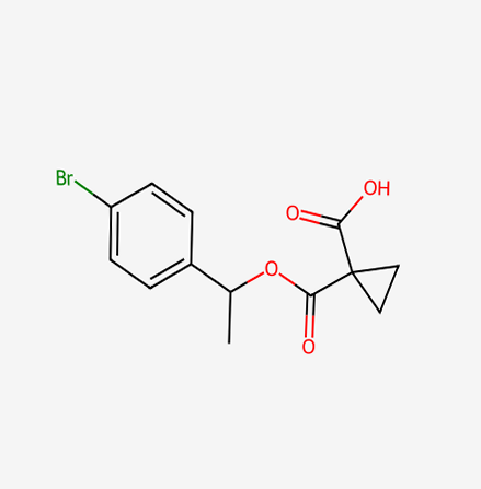 CC(OC(=O)C1(C(=O)O)CC1)c1ccc(Br)cc1